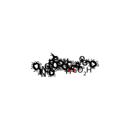 C=C(C)C1CC[C@]2(C(=O)N3CCC[C@H]3c3ncc(-c4ccccc4)[nH]3)CC[C@]3(C)[C@H](CC[C@@H]4[C@]5(C)CC[C@H]([C@]6(C(=O)O)C[C@H](C(=O)OCc7ccccc7)C6(C)C)C(C)(C)[C@H]5CC[C@]43C)[C@@H]12